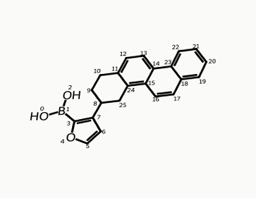 OB(O)c1occc1C1CCc2ccc3c(ccc4ccccc43)c2C1